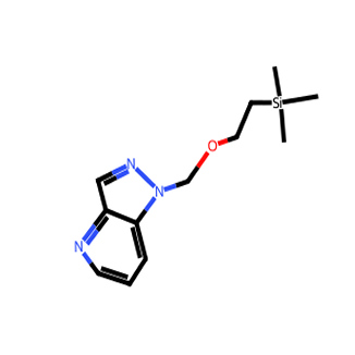 C[Si](C)(C)CCOCn1ncc2ncccc21